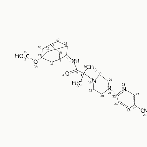 CC(C)(C(=O)NC1C2CC3CC1CC(OC(=O)O)(C3)C2)N1CCN(c2ccc(C#N)cn2)CC1